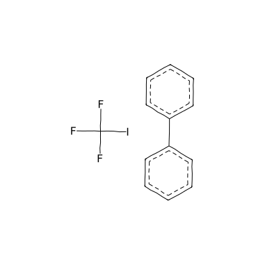 FC(F)(F)I.c1ccc(-c2ccccc2)cc1